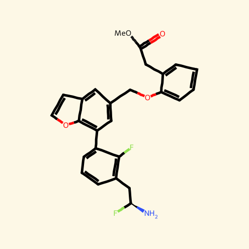 COC(=O)Cc1ccccc1OCc1cc(-c2cccc(C[C@@H](N)F)c2F)c2occc2c1